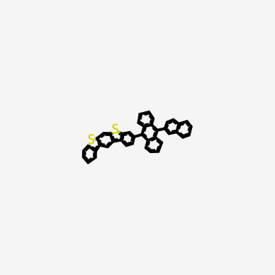 c1ccc2cc(-c3c4ccccc4c(-c4ccc5c(c4)sc4cc6sc7ccccc7c6cc45)c4ccccc34)ccc2c1